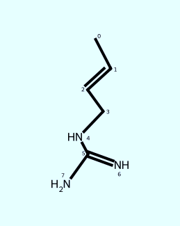 C/C=C/CNC(=N)N